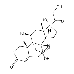 C[C@]12CCC(=O)C=C1CC[C@H]1[C@@H]3CC[C@](O)(C(=O)CO)[C@@]3(C)C[C@H](O)[C@@]12CC(=O)O